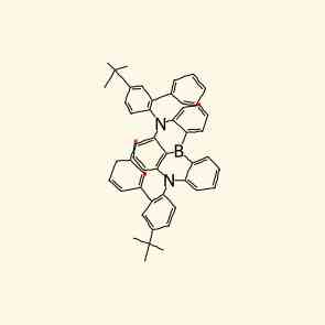 CC1C=C(c2cc(C(C)(C)C)ccc2N2c3ccccc3B3c4ccccc4N(c4ccc(C(C)(C)C)cc4-c4ccccc4)c4cccc2c43)C=CC1